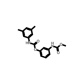 COC(=O)Nc1cccc(OC(=O)Nc2cc(C)cc(C)c2)c1